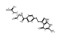 Nc1nc(=O)c2c(CCc3ccc(C(=O)N[C@H](C=O)CCC(=O)O)cc3)c[nH]c2[nH]1